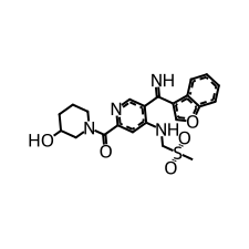 CS(=O)(=O)CNc1cc(C(=O)N2CCCC(O)C2)ncc1C(=N)c1coc2ccccc12